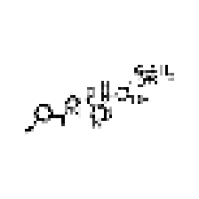 C#Cc1cccc(C(C)n2ccc(C(=O)c3cncnc3N[C@@H]3C[C@H](COS(N)(=O)=O)[C@@H](O)C3)n2)c1